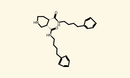 O=C(NCCCCc1ccccc1)[C@H]1CCNC[C@H]1C(=O)NCCCCc1ccccc1